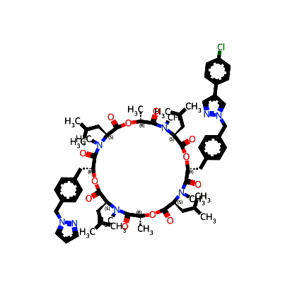 CC(C)C[C@H]1C(=O)O[C@H](Cc2ccc(Cn3cc(-c4ccc(Cl)cc4)cn3)cc2)C(=O)N(C)[C@@H](CC(C)C)C(=O)O[C@H](C)C(=O)N(C)[C@@H](CC(C)C)C(=O)O[C@H](Cc2ccc(Cn3cccn3)cc2)C(=O)N(C)[C@@H](CC(C)C)C(=O)O[C@H](C)C(=O)N1C